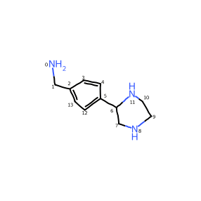 NCc1ccc(C2CNCCN2)cc1